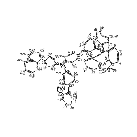 CC1(C)c2cccc3c2-c2c1cccc2C3(c1ccccc1)c1cccc(-c2ccc(N(c3ccc(-c4cccc5ccccc45)cc3)c3ccc4c(c3)oc3ccccc34)cc2)c1